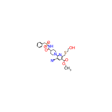 CCOC(=O)c1cc(C#N)c(N2CCC(C(=O)NS(=O)(=O)Cc3ccccc3)CC2)nc1CSCCO